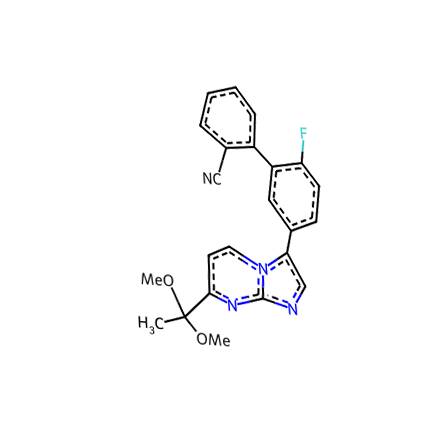 COC(C)(OC)c1ccn2c(-c3ccc(F)c(-c4ccccc4C#N)c3)cnc2n1